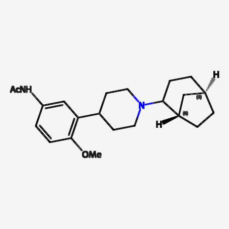 COc1ccc(NC(C)=O)cc1C1CCN(C2CC[C@H]3CC[C@H]2C3)CC1